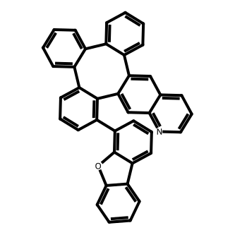 c1ccc2c(c1)-c1ccccc1-c1cccc(-c3cccc4c3oc3ccccc34)c1-c1cc3ncccc3cc1-2